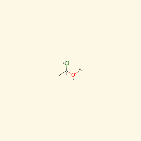 [CH2]OC(C)Cl